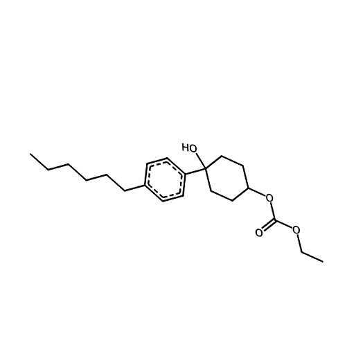 CCCCCCc1ccc(C2(O)CCC(OC(=O)OCC)CC2)cc1